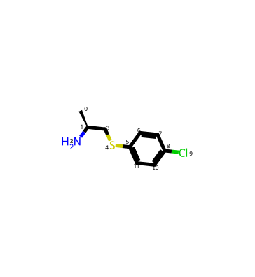 C[C@H](N)CSc1ccc(Cl)cc1